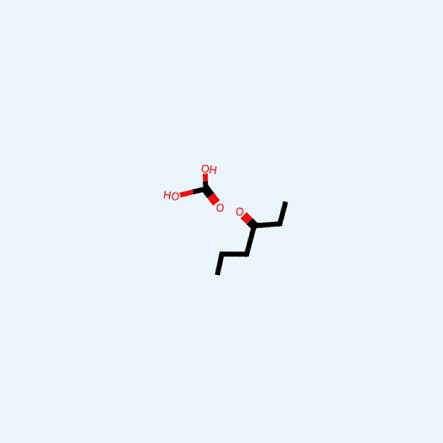 CCCC(=O)CC.O=C(O)O